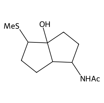 CSC1CCC2C(NC(C)=O)CCC12O